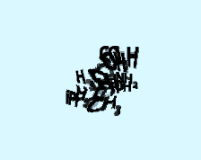 CC(C)CCC[C@@H](C)[C@H]1CC[C@H]2[C@@H]3C(O)C(N)C4CC(O)(CC(=O)O)CC[C@]4(C)[C@H]3CC[C@]12C